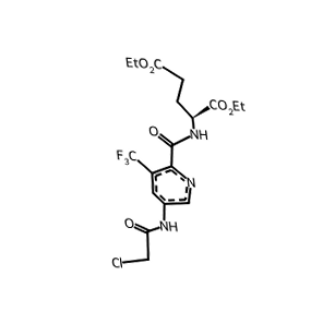 CCOC(=O)CC[C@H](NC(=O)c1ncc(NC(=O)CCl)cc1C(F)(F)F)C(=O)OCC